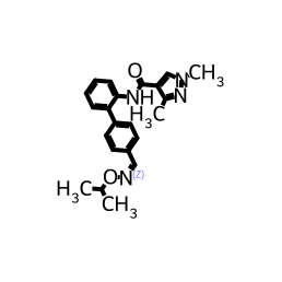 Cc1nn(C)cc1C(=O)Nc1ccccc1-c1ccc(/C=N\OC(C)C)cc1